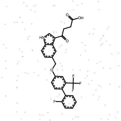 O=C(O)CCC(=O)c1c[nH]c2ccc(COc3ccc(-c4ccccc4F)c(C(F)(F)F)c3)cc12